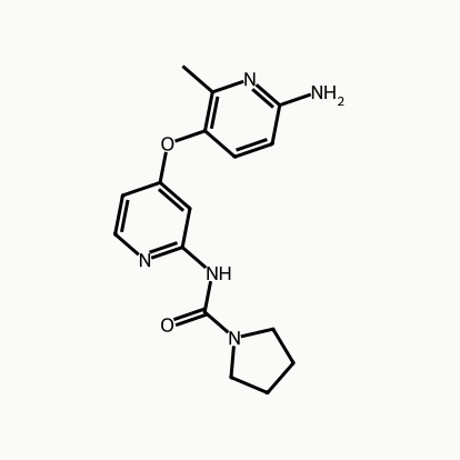 Cc1nc(N)ccc1Oc1ccnc(NC(=O)N2CCCC2)c1